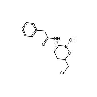 CC(=O)CC1CC[C@H](NC(=O)Cc2ccccc2)B(O)O1